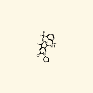 Cc1nnc(N[C@H](C)c2cccc(C(F)(F)F)c2)c2cn(C3CCCC3)c(=O)cc12